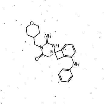 N=C1N[C@]2(CC(=O)N1CC1CCOCC1)Cc1c(Nc3ccccc3)cccc12